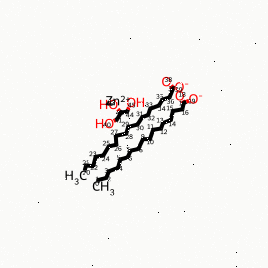 CCCCCCCCCCCCCCCCCC(=O)[O-].CCCCCCCCCCCCCCCCCC(=O)[O-].OCC(O)CO.[Zn+2]